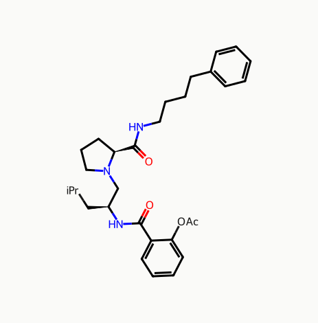 CC(=O)Oc1ccccc1C(=O)N[C@@H](CC(C)C)CN1CCC[C@H]1C(=O)NCCCCc1ccccc1